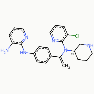 C=C(c1ccc(Nc2ncccc2N)cc1)N(c1ncccc1Cl)[C@@H]1CCCNC1